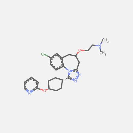 CN(C)CCOC1Cc2cc(Cl)ccc2-n2c(nnc2[C@H]2CC[C@H](Oc3ccccn3)CC2)C1